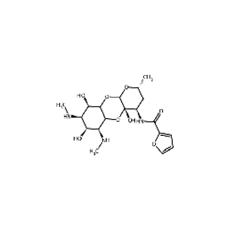 CN[C@@H]1[C@H](O)[C@H](NC)C2O[C@]3(O)C(OC2[C@@H]1O)O[C@H](C)C[C@H]3NC(=O)c1ccco1